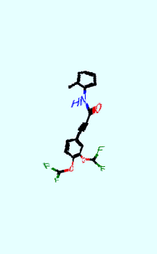 Cc1ccccc1NC(=O)C#Cc1ccc(OC(F)F)c(OC(F)F)c1